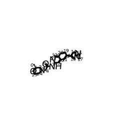 C[C@H]1CN(CC(=O)Nc2cc3cc(-c4cnn(C)c4)ccc3cn2)CCO1